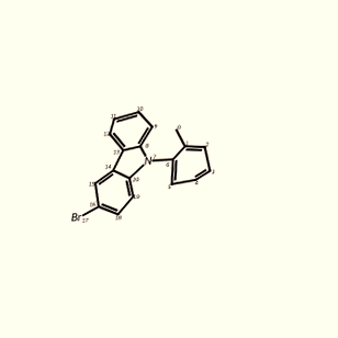 Cc1ccccc1-n1c2ccccc2c2cc(Br)ccc21